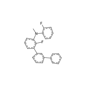 CN(c1ccccc1F)c1cccc(-c2cccc(-c3ccccc3)c2)c1F